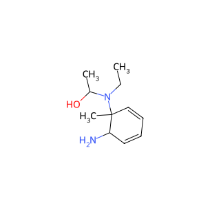 CCN(C(C)O)C1(C)C=CC=CC1N